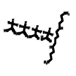 NCCCNCCCCNCCCN.O=C(O)C(F)(F)F.O=C(O)C(F)(F)F.O=C(O)C(F)(F)F.O=C(O)C(F)(F)F